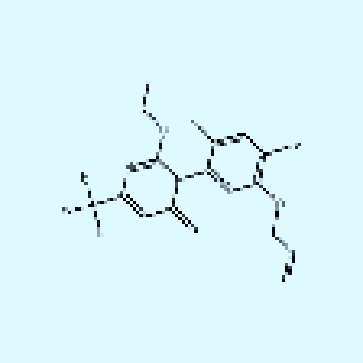 C=CCOc1cc(-n2c(OCC)nc(C(F)(F)F)cc2=O)c(F)cc1Br